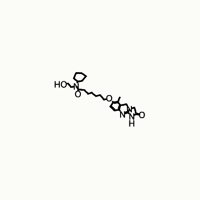 Cc1c(OCCCCCCC(=O)N(CCO)C2CCCCC2)ccc2c1CN1CC(=O)NC1=N2